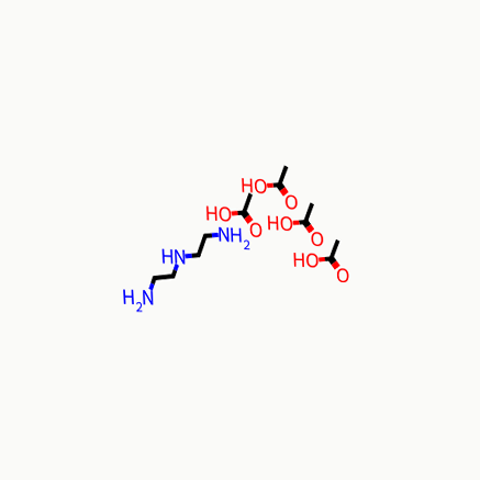 CC(=O)O.CC(=O)O.CC(=O)O.CC(=O)O.NCCNCCN